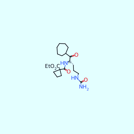 CCOC(=O)C1(C(=O)N[C@@H](CCCNC(N)=O)C(=O)C2CCCCCC2)CCC1